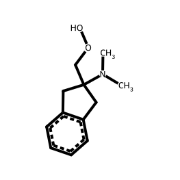 CN(C)C1(COO)Cc2ccccc2C1